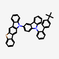 CC(C)(C)c1ccc(-c2ccccc2-n2c3ccccc3c3cc(-n4c5ccccc5c5cc6sc7ccccc7c6cc54)ccc32)cc1